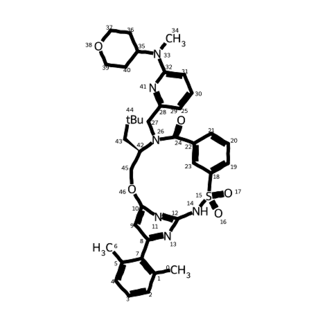 Cc1cccc(C)c1-c1cc2nc(n1)NS(=O)(=O)c1cccc(c1)C(=O)N(Cc1cccc(N(C)C3CCOCC3)n1)[C@H](CC(C)(C)C)CO2